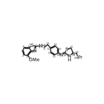 COc1cccc2sc(NCCc3ccc(/N=C4/N[C@H](CC(C)C)CS4)cc3)nc12